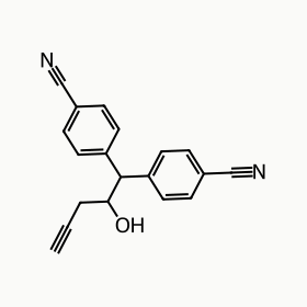 C#CCC(O)C(c1ccc(C#N)cc1)c1ccc(C#N)cc1